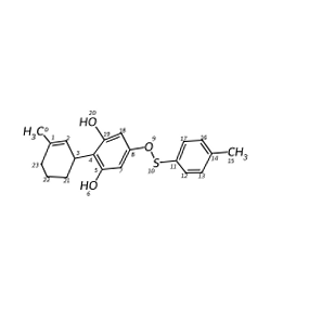 CC1=CC(c2c(O)cc(OSc3ccc(C)cc3)cc2O)CCC1